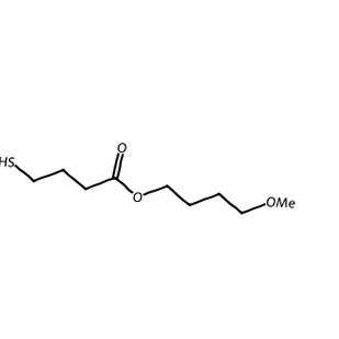 COCCCCOC(=O)CCCS